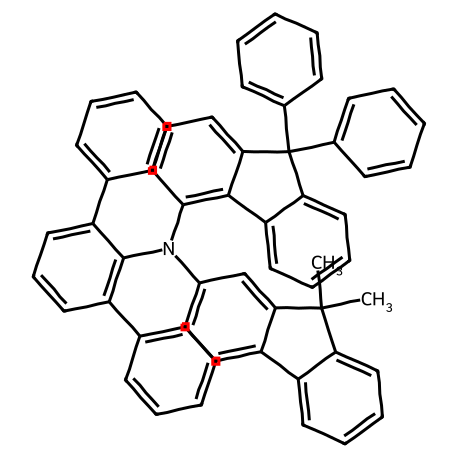 CC1(C)c2ccccc2-c2ccc(N(c3cccc4c3-c3ccccc3C4(c3ccccc3)c3ccccc3)c3c(-c4ccccc4)cccc3-c3ccccc3)cc21